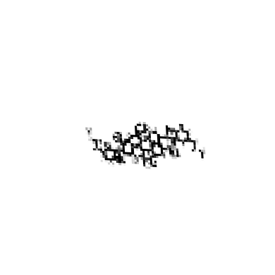 CCCCC1=CC2C(C=C1)N=c1c3cc(Cl)c4c5c(Cl)cc6c(=O)n7c8cc(CCCC)ccc8nc7c7cc(Cl)c(c8c(Cl)cc(c(=O)n12)c3c48)c5c67